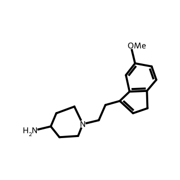 COc1ccc2c(c1)C(CCN1CCC(N)CC1)=CC2